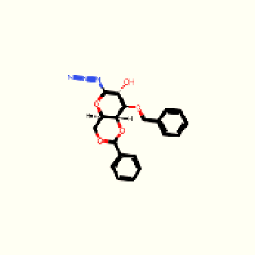 [N-]=[N+]=N[C@@H]1O[C@@H]2COC(c3ccccc3)O[C@H]2[C@H](OCc2ccccc2)[C@H]1O